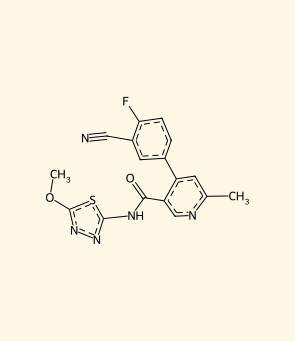 COc1nnc(NC(=O)c2cnc(C)cc2-c2ccc(F)c(C#N)c2)s1